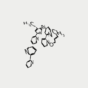 CCCC=O.Cc1ccnc(-c2ccccn2)c1.[Ru][c]1ccnc(-c2ccccn2)c1.c1ccc(-c2ccccn2)nc1